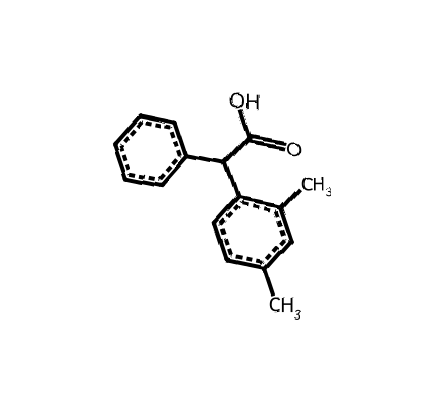 Cc1ccc(C(C(=O)O)c2ccccc2)c(C)c1